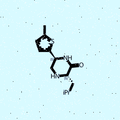 Cc1ccc([C@@H]2CN[C@@H](CC(C)C)C(=O)N2)s1